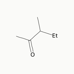 [CH2]CC(C)C(C)=O